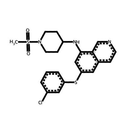 CS(=O)(=O)N1CCC(Nc2cc(Sc3cccc(Cl)c3)cc3ccncc23)CC1